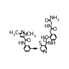 Cc1cc(C(=O)Nc2cccc(C#C[C@H]3C=NC=C(C(=O)Nc4cccc(CC(=O)NCC(N)=O)c4O)C3=S)c2)n(C)n1